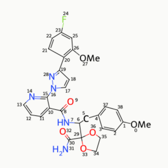 COc1ccc(CC(NC(=O)c2cccnc2-n2ccc(-c3ccc(F)cc3OC)n2)C2(C(N)=O)OCCO2)cc1